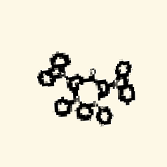 O=C1c2cc(cc(-n3c4ccccc4c4ccccc43)c2)N(c2ccccc2)c2ccccc2N(c2ccccc2)c2cc1cc(-n1c3ccccc3c3ccccc31)c2